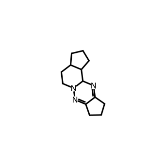 C1CC2=NC3C4CCCC4CCN3N=C2C1